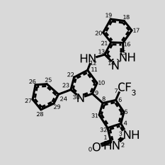 O=c1[nH][nH]c2cc(C(F)(F)F)c(-c3cc(Nc4n[nH]c5ccccc45)cc(-c4ccccc4)n3)cc12